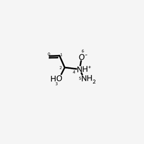 C=CC(O)[NH+](N)[O-]